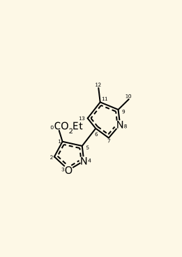 CCOC(=O)c1conc1-c1cnc(C)c(C)c1